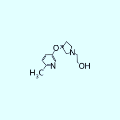 Cc1ccc(O[C@@H]2CCN(CCO)C2)cn1